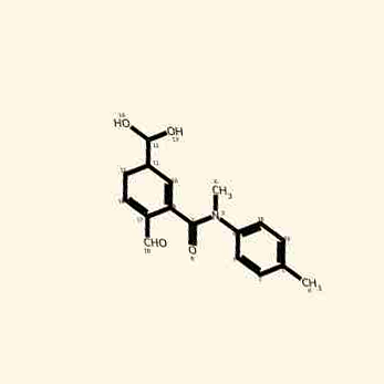 Cc1ccc(N(C)C(=O)C2=CC(C(O)O)CC=C2C=O)cc1